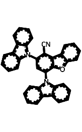 N#Cc1c(-n2c3ccccc3c3ccccc32)cc(-n2c3ccccc3c3ccccc32)c2oc3ccccc3c12